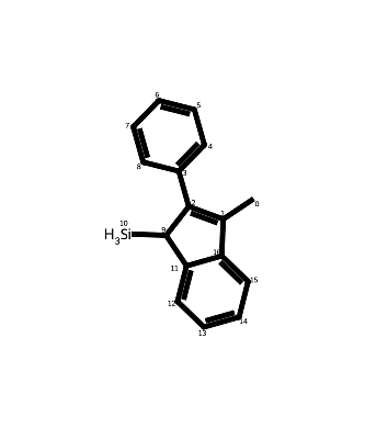 CC1=C(c2ccccc2)C([SiH3])c2ccccc21